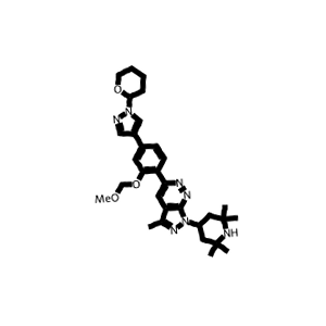 COCOc1cc(-c2cnn(C3CCCCO3)c2)ccc1-c1cc2c(C)nn(C3CC(C)(C)NC(C)(C)C3)c2nn1